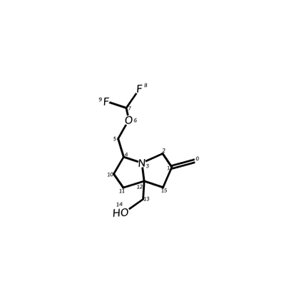 C=C1CN2C(COC(F)F)CCC2(CO)C1